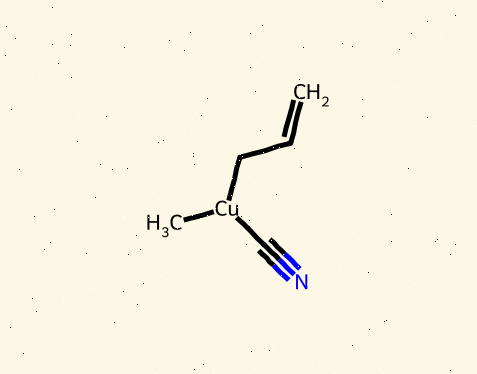 C=C[CH2][Cu]([CH3])[C]#N